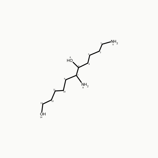 NCCCCC(O)C(N)CCCCCO